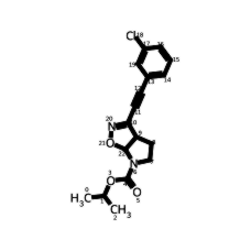 CC(C)OC(=O)N1CCC2C(C#Cc3cccc(Cl)c3)=NOC21